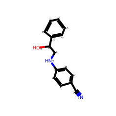 N#Cc1ccc(NCC(O)c2ccccc2)cc1